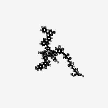 COC[C@H]1O[C@@H](n2cc(C#CC(=O)NC(=O)CNC(=O)CCNCCN(C)C)c(=O)[nH]c2=O)C[C@@H]1OP(=O)(O)OC[C@H]1O[C@@H](n2cc(-c3ccc(C=O)cc3)c(=O)[nH]c2=O)C[C@@H]1OP(=O)(O)OC[C@H]1O[C@@H](n2cc(-c3ccc(C4OC(=O)CCN4Cc4ccccc4)cc3)c3c(N)ncnc32)C[C@@H]1O